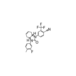 Cc1ccc(N2C(=O)N(c3ccc(C#N)c(C(F)(F)F)c3)[C@H]3CC=CC[C@@H]32)cc1F